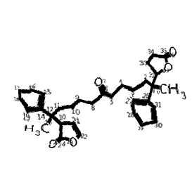 CC(CCCCC(=O)CCCCC(C)(c1ccccc1)C1C=COC1=O)(c1ccccc1)C1CCC(=O)O1